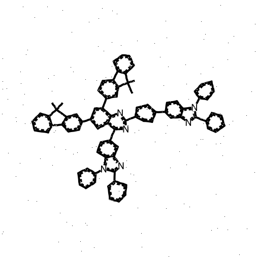 CC1(C)c2ccccc2-c2ccc(-c3cc(-c4ccc5c(c4)C(C)(C)c4ccccc4-5)c4nc(-c5ccc(-c6ccc7c(c6)nc(-c6ccccc6)n7-c6ccccc6)cc5)nc(-c5ccc6c(c5)nc(-c5ccccc5)n6-c5ccccc5)c4c3)cc21